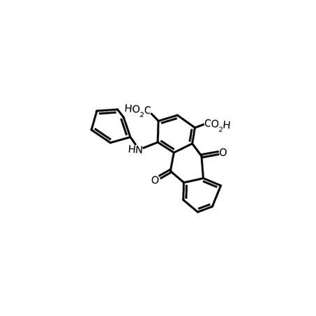 O=C(O)c1cc(C(=O)O)c2c(c1Nc1ccccc1)C(=O)c1ccccc1C2=O